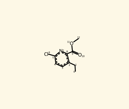 CCc1ccc(Cl)nc1C(=O)OC